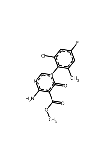 COC(=O)c1c(N)ncn(-c2c(C)cc(F)cc2Cl)c1=O